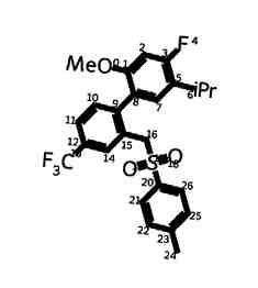 COc1cc(F)c(C(C)C)cc1-c1ccc(C(F)(F)F)cc1CS(=O)(=O)c1ccc(C)cc1